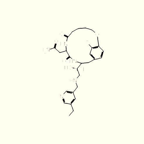 CCc1cncc(CNC[C@@H](O)[C@@H]2Cc3ccc(c(F)c3)OCCCCC(=O)NC(CC(N)=O)C(=O)N2)c1